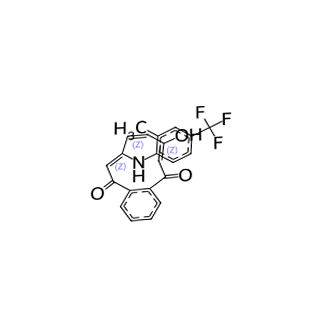 Cc1cc(C(F)(F)F)ccc1NC1=C\C(=O)c2ccccc2C(=O)/C=C(O)/C=C\1